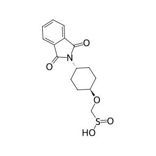 O=C1c2ccccc2C(=O)N1[C@H]1CC[C@H](OCS(=O)O)CC1